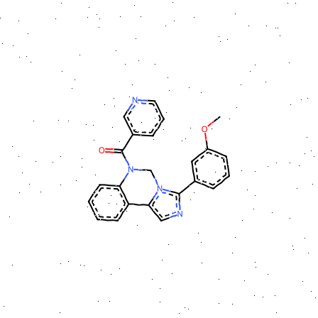 COc1cccc(-c2ncc3n2CN(C(=O)c2cccnc2)c2ccccc2-3)c1